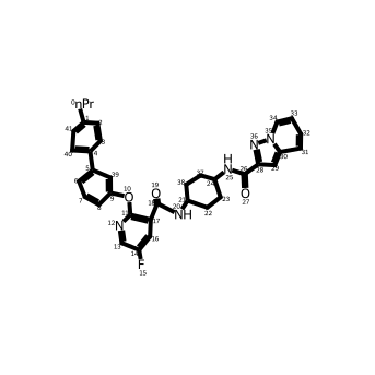 [CH2]CCc1ccc(-c2cccc(Oc3ncc(F)cc3C(=O)NC3CCC(NC(=O)c4cc5ccccn5n4)CC3)c2)cc1